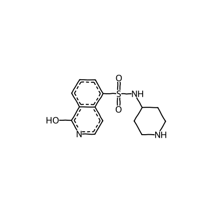 O=S(=O)(NC1CCNCC1)c1cccc2c(O)nccc12